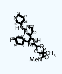 CNC(=O)C1(C)COC(c2nc(-c3ccc(F)cc3)c(-c3ccnc(Nc4cccnc4)n3)[nH]2)OC1